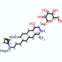 CCCCCCCCCCCCCCC[C@@H](O)[C@H](COC1OC(CO)C(O)C(O)C1O)N[C@@H](CCCCCCCCN(CCCCCCC)C12CC(C1)C2)C(F)(F)F